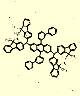 CC1(C)c2ccccc2-c2ccc(N(c3ccc4c(c3)C(C)(C)c3ccccc3-4)c3ccc4c(-c5cccc(-c6ccccc6)c5)c5cc(N(c6ccc7c(c6)C(C)(C)c6ccccc6-7)c6ccc7c(c6)C(C)(C)c6ccccc6-7)ccc5c(-c5cccc(-c6ccccc6)c5)c4c3)cc21